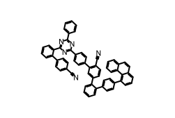 N#Cc1ccc(-c2ccccc2-c2nc(-c3ccccc3)nc(-c3ccc(-c4cc(-c5ccccc5-c5ccc(-c6cccc7ccc8ccccc8c67)cc5)ccc4C#N)cc3)n2)cc1